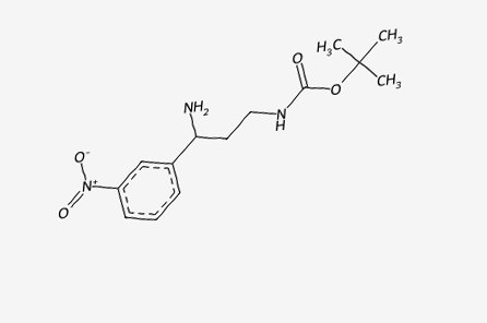 CC(C)(C)OC(=O)NCCC(N)c1cccc([N+](=O)[O-])c1